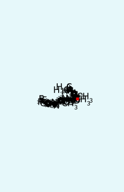 CCN(CC)c1ccc(C(C)C)c(N2C(=O)CS/C2=N\C(=O)Nc2ccc(-c3ncn(-c4ccc(OC(F)(F)F)cc4)n3)cc2C)c1